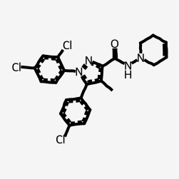 Cc1c(C(=O)NN2CC=CCC2)nn(-c2ccc(Cl)cc2Cl)c1-c1ccc(Cl)cc1